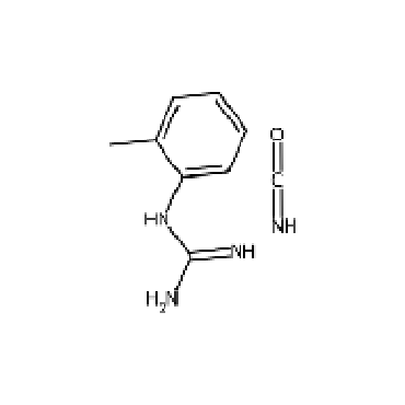 Cc1ccccc1NC(=N)N.N=C=O